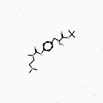 CN(C)CCN(C)C(=O)Oc1ccc(C[C@H](N)C(=O)OC(C)(C)C)cc1